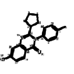 Cc1ccc(-n2c(C3CCCC3)nc3cc(O)ccc3c2=O)cc1